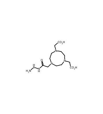 NBNC(=O)CN1CCN(CC(=O)O)CCN(CC(=O)O)CC1